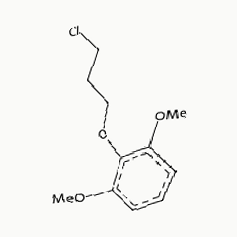 COc1cccc(OC)c1OCCCCl